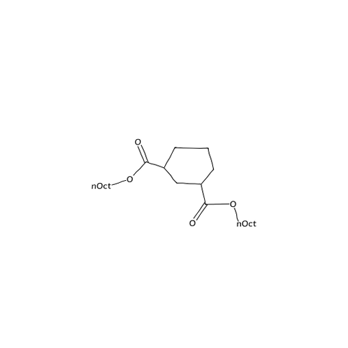 CCCCCCCCOC(=O)C1CCCC(C(=O)OCCCCCCCC)C1